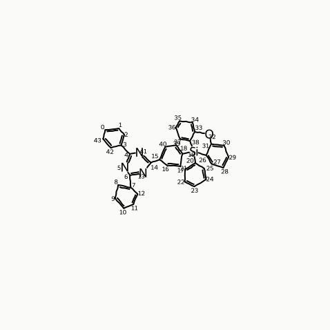 c1ccc(-c2nc(-c3ccccc3)nc(-c3ccc([Si]4(c5ccccc5)c5ccccc5Oc5ccccc54)cc3)n2)cc1